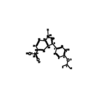 CC(C)Oc1ccc(-c2nn(C)c3ccc([N+](=O)[O-])cc23)cn1